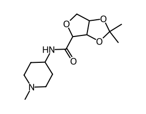 CN1CCC(NC(=O)C2OCC3OC(C)(C)OC32)CC1